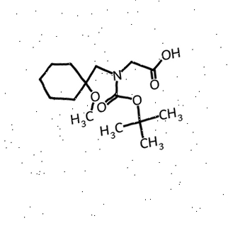 COC1(CN(CC(=O)O)C(=O)OC(C)(C)C)CCCCC1